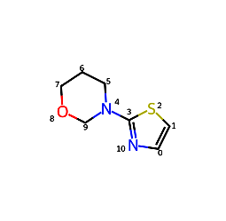 c1csc(N2CCCOC2)n1